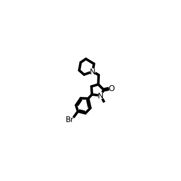 CN1C(=O)C(CN2CCCCC2)CC1c1ccc(Br)cc1